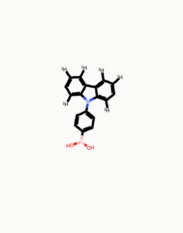 [2H]c1cc([2H])c2c(c1[2H])c1c([2H])c([2H])cc([2H])c1n2-c1ccc(B(O)O)cc1